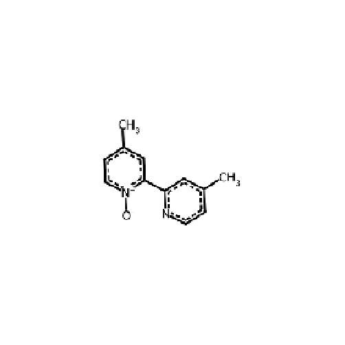 Cc1ccnc(-c2cc(C)cc[n+]2[O-])c1